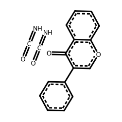 N=C=O.N=C=O.O=c1c(-c2ccccc2)coc2ccccc12